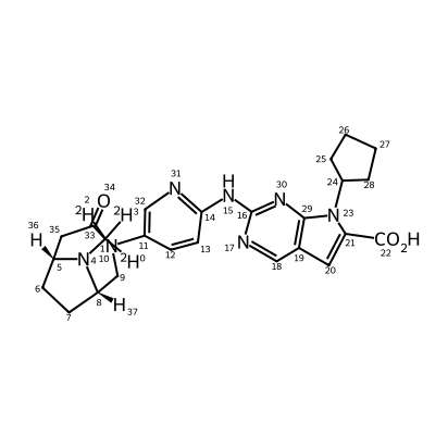 [2H]C([2H])([2H])N1[C@@H]2CC[C@H]1CN(c1ccc(Nc3ncc4cc(C(=O)O)n(C5CCCC5)c4n3)nc1)C(=O)C2